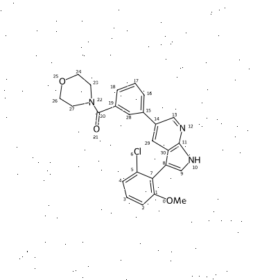 COc1cccc(Cl)c1-c1c[nH]c2ncc(-c3cccc(C(=O)N4CCOCC4)c3)cc12